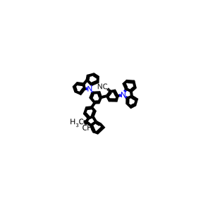 CC1(C)c2ccccc2-c2cc(-c3cc(-c4ccc(-n5c6ccccc6c6ccccc65)cc4C#N)cc(-n4c5ccccc5c5ccccc54)c3)ccc21